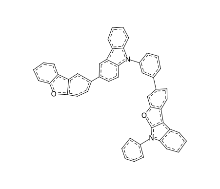 c1ccc(-n2c3ccccc3c3c4ccc(-c5cccc(-n6c7ccccc7c7cc(-c8ccc9oc%10ccccc%10c9c8)ccc76)c5)cc4oc32)cc1